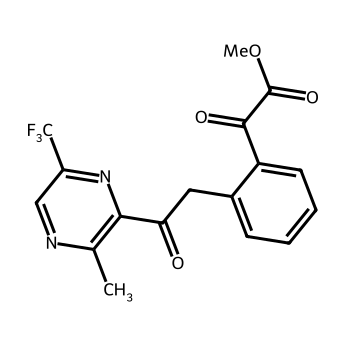 COC(=O)C(=O)c1ccccc1CC(=O)c1nc(C(F)(F)F)cnc1C